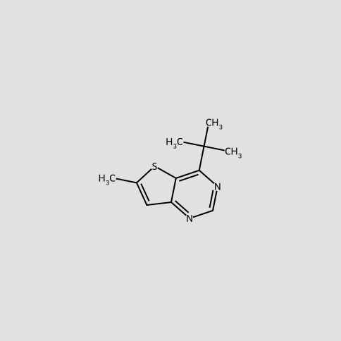 Cc1cc2ncnc(C(C)(C)C)c2s1